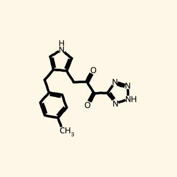 Cc1ccc(Cc2c[nH]cc2CC(=O)C(=O)c2nn[nH]n2)cc1